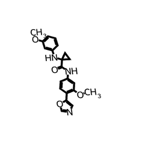 COc1cccc(NC2(C(=O)Nc3ccc(-c4cnco4)c(OC)c3)CC2)c1